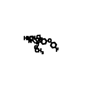 COC[C@@](O)(Cc1nc[nH]n1)c1ccc(Oc2ccc(F)cc2)cc1Cl